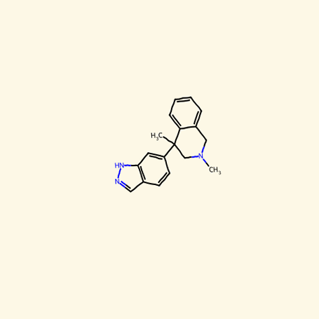 CN1Cc2ccccc2C(C)(c2ccc3cn[nH]c3c2)C1